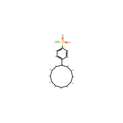 O=S(=O)(Cl)c1ccc(C2CCCCCCCCCCC2)cc1